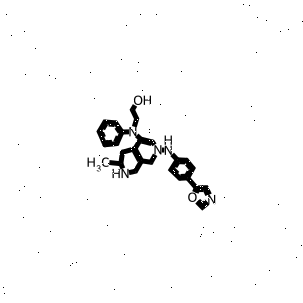 CC1CC2=C(CN1)CN(Nc1ccc(-c3cnco3)cc1)C=C2N(CCO)c1ccccc1